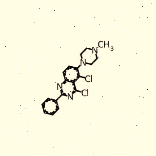 CN1CCN(c2ccc3nc(-c4ccccc4)nc(Cl)c3c2Cl)CC1